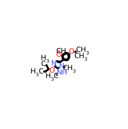 CCC(CC)OC1=NC=C(c2ccc(OC(C)C)cc2OC)N(C)C1NC